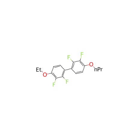 CCCOc1ccc(-c2ccc(OCC)c(F)c2F)c(F)c1F